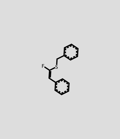 FC(=Cc1ccccc1)SCc1ccccc1